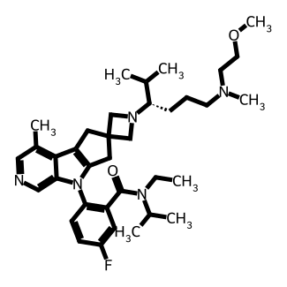 CCN(C(=O)c1cc(F)ccc1-n1c2c(c3c(C)cncc31)CC1(C2)CN([C@@H](CCCN(C)CCOC)C(C)C)C1)C(C)C